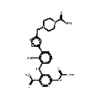 COC(=O)Nc1cc(Nc2cccc(-c3noc(CN4CCN(C(=O)OC)CC4)n3)c2OC)c(C(N)=O)nn1